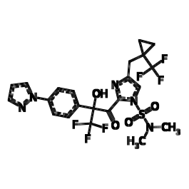 CN(C)S(=O)(=O)n1cc(CC2(C(F)(F)F)CC2)nc1C(=O)C(O)(c1ccc(-n2cccn2)cc1)C(F)(F)F